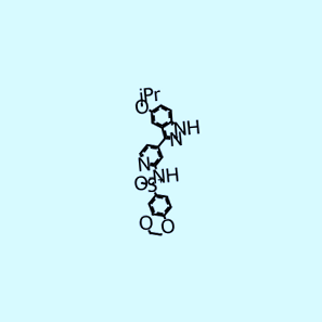 CC(C)Oc1ccc2[nH]nc(-c3ccnc(N[S+]([O-])c4ccc5c(c4)OCCO5)c3)c2c1